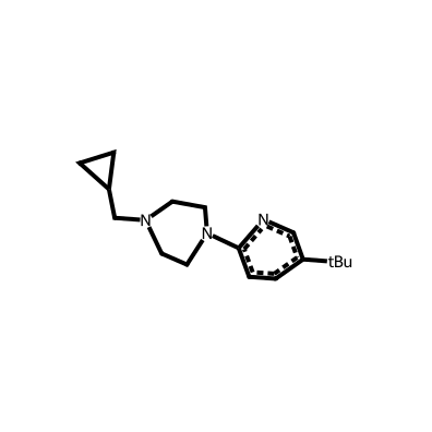 CC(C)(C)c1ccc(N2CCN(CC3CC3)CC2)nc1